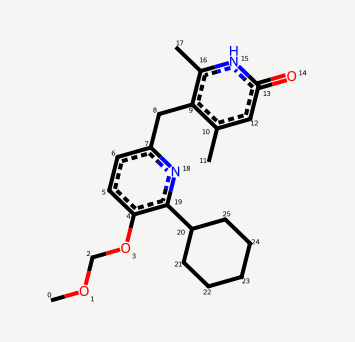 COCOc1ccc(Cc2c(C)cc(=O)[nH]c2C)nc1C1CCCCC1